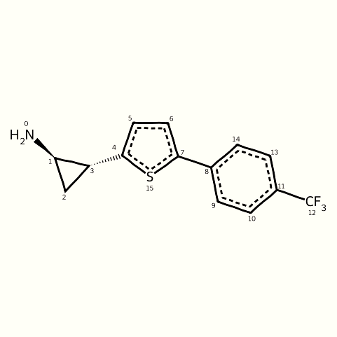 N[C@@H]1C[C@H]1c1ccc(-c2ccc(C(F)(F)F)cc2)s1